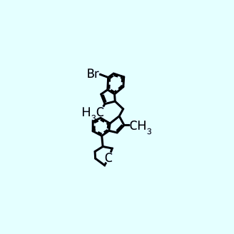 CC1=Cc2c(Br)cccc2C1CC1C(C)=Cc2c(C3CCCCC3)cccc21